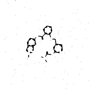 CCN(C)C(=O)Nc1cc(CNc2ccccc2C(=O)Nc2ccc3cn(C)nc3c2)ccn1